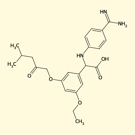 CCOc1cc(OCC(=O)CC(C)C)cc(C(Nc2ccc(C(=N)N)cc2)C(=O)O)c1